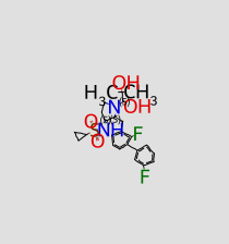 CC(C)(O)[C@H](O)N1CC[C@H](NS(=O)(=O)C2CC2)[C@@H]1Cc1cccc(-c2cccc(F)c2)c1F